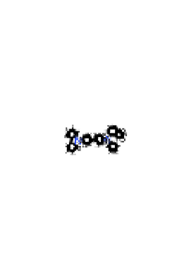 C1=CC2C3C=CC=CC3N(c3ccc(-c4ccc(N(c5ccccc5)c5cccc6ccccc56)cc4)cc3)C2C=C1